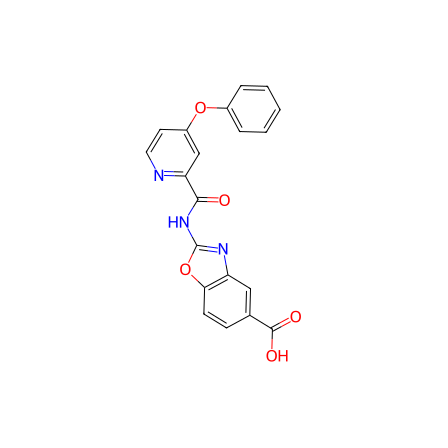 O=C(O)c1ccc2oc(NC(=O)c3cc(Oc4ccccc4)ccn3)nc2c1